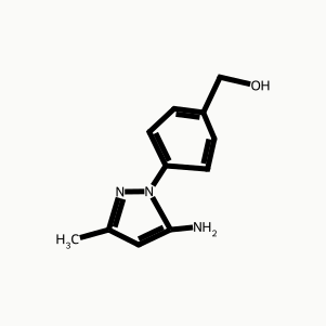 Cc1cc(N)n(-c2ccc(CO)cc2)n1